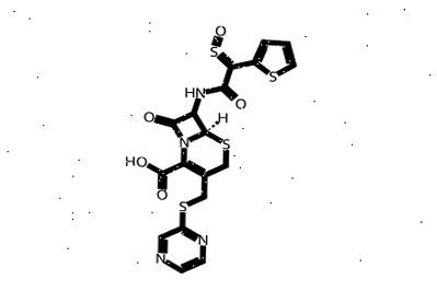 O=S=C(C(=O)NC1C(=O)N2C(C(=O)O)=C(CSc3cnccn3)CS[C@H]12)c1cccs1